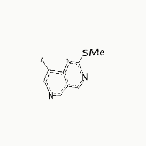 CSc1ncc2cncc(I)c2n1